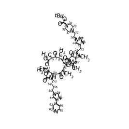 CC[C@H]1OC(=O)[C@H](C)C(=O)[C@H](C)[C@@H](O[C@@H]2O[C@H](C)C[C@H](N(C)CCc3cn(CCN4CCN(C(=O)OC(C)(C)C)CC4)nn3)[C@H]2O)[C@](C)(OC)C[C@@H](C)C(=O)C[C@H]2N(CCCCn3cnc(-c4ccncc4)c3)C(=O)O[C@]12C